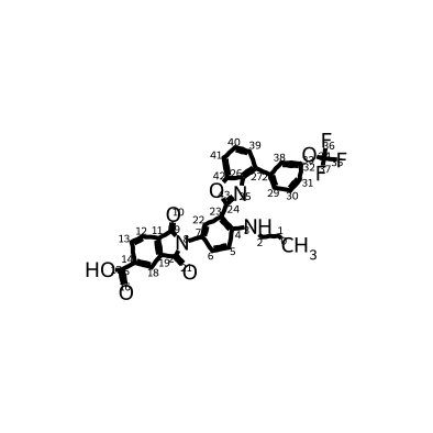 CCCNc1ccc(N2C(=O)c3ccc(C(=O)O)cc3C2=O)cc1-c1nc2c(-c3cccc(OC(F)(F)F)c3)cccc2o1